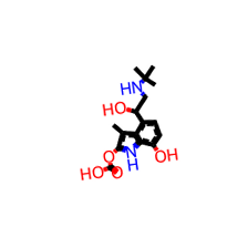 Cc1c(OC(=O)O)[nH]c2c(O)ccc(C(O)CNC(C)(C)C)c12